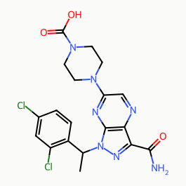 CC(c1ccc(Cl)cc1Cl)n1nc(C(N)=O)c2ncc(N3CCN(C(=O)O)CC3)nc21